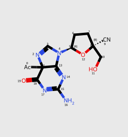 CC(=O)C12N=CN([C@H]3CC[C@@](C#N)(CO)O3)C1=NC(N)=NC2=O